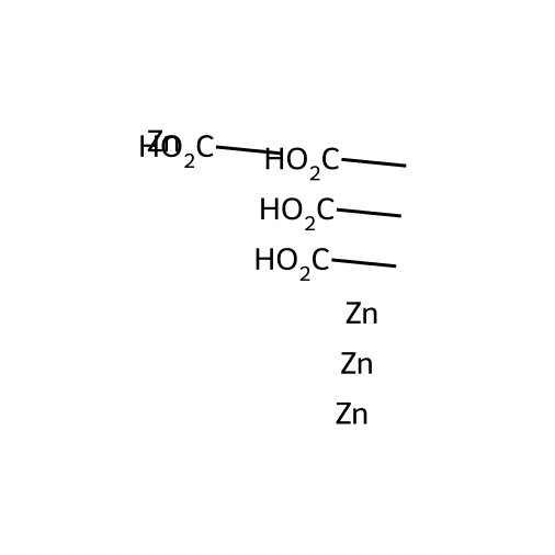 CC(=O)O.CC(=O)O.CC(=O)O.CC(=O)O.[Zn].[Zn].[Zn].[Zn]